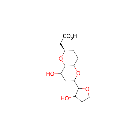 O=C(O)C[C@H]1CCC2OC(C3OCCC3O)CC(O)C2O1